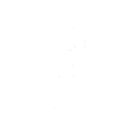 c1ccc2cc(-c3ccc4cc(-c5cc6ccc7ccccc7n6n5)ccc4c3)ccc2c1